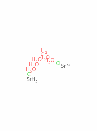 O.O.O.O.O.O.[Cl-].[Cl-].[Sr+2].[SrH2]